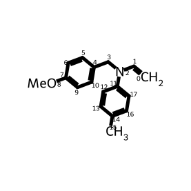 C=CN(Cc1ccc(OC)cc1)c1ccc(C)cc1